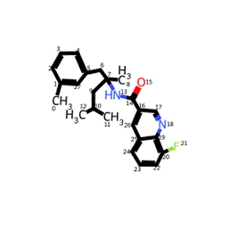 Cc1cccc(CC(C)(CC(C)C)NC(=O)c2cnc3c(F)cccc3c2)c1